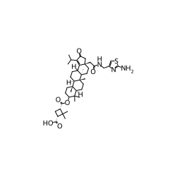 CC(C)C1=C2[C@H]3CC[C@@H]4[C@@]5(C)CC[C@H](OC(=O)[C@H]6C[C@@H](C(=O)O)C6(C)C)C(C)(C)[C@@H]5CC[C@@]4(C)[C@]3(C)CC[C@@]2(CC(=O)NCc2csc(N)n2)CC1=O